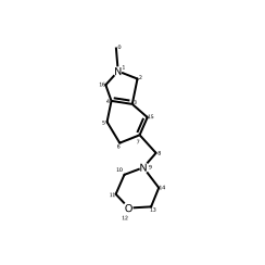 CN1CC2=C(CCC(CN3CCOCC3)=C2)C1